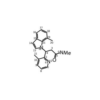 CNC(=O)CC(c1ncccc1C)n1ccc2cccc(C)c21